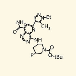 CCn1ncc(-c2cc(C(N)=O)c3ncnc(N[C@H]4C[C@H](F)CN(C(=O)OC(C)(C)C)C4)c3n2)c1C